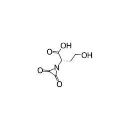 O=C(O)[C@H](CCO)n1c(=O)c1=O